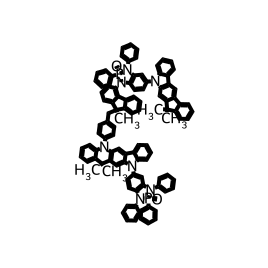 CC1(C)c2ccccc2-c2cc3c4ccccc4n(-c4ccc5c(c4)N(c4ccccc4)P(=O)(c4ccccc4)N5c4cccc5c4-c4ccccc4C5(C)Cc4ccc(N5c6ccccc6C(C)(C)c6cc7c(cc65)c5ccccc5n7-c5ccc6c(c5)N(c5ccccc5)P(=O)(c5ccccc5)N6c5ccccc5)cc4)c3cc21